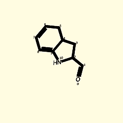 O=CC1CC2CC=CC=C2N1